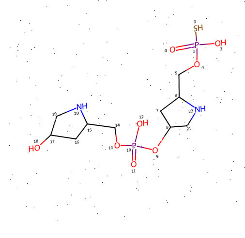 O=P(O)(S)OCC1CC(OP(=O)(O)OCC2CC(O)CN2)CN1